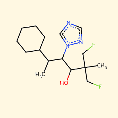 CC(C1CCCCC1)C(C(O)C(C)(CF)CF)n1cncn1